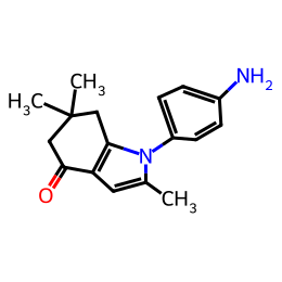 Cc1cc2c(n1-c1ccc(N)cc1)CC(C)(C)CC2=O